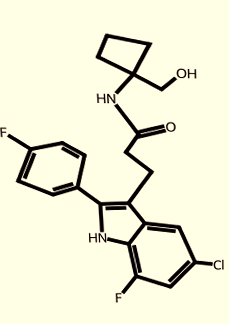 O=C(CCc1c(-c2ccc(F)cc2)[nH]c2c(F)cc(Cl)cc12)NC1(CO)CCC1